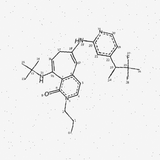 CCCn1ccc2c(c1=O)C(NC(C)(C)C)=CCC(Nc1cc(C(C)C(C)(F)F)ccn1)=C2